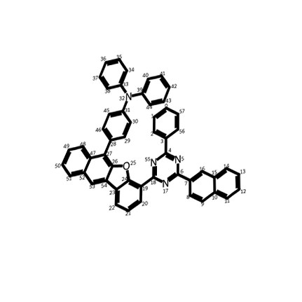 c1ccc(-c2nc(-c3ccc4ccccc4c3)nc(-c3cccc4c3oc3c(-c5ccc(N(c6ccccc6)c6ccccc6)cc5)c5ccccc5cc34)n2)cc1